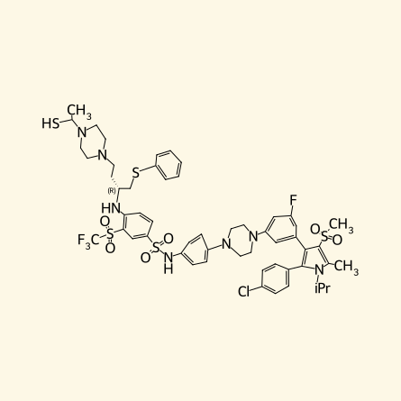 Cc1c(S(C)(=O)=O)c(-c2cc(F)cc(N3CCN(c4ccc(NS(=O)(=O)c5ccc(N[C@H](CCN6CCN(C(C)S)CC6)CSc6ccccc6)c(S(=O)(=O)C(F)(F)F)c5)cc4)CC3)c2)c(-c2ccc(Cl)cc2)n1C(C)C